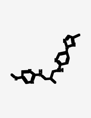 CSc1cnc(NCC(C)CNc2ccc(-n3ncc(C)n3)cn2)nc1